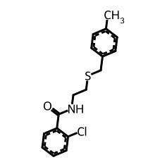 Cc1ccc(CSCCNC(=O)c2ccccc2Cl)cc1